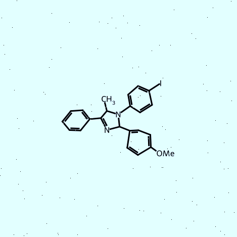 COc1ccc(C2N=C(c3ccccc3)C(C)N2c2ccc(I)cc2)cc1